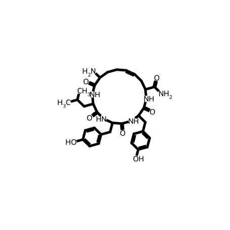 CC(C)CC1NC(=O)C(N)CC/C=C\CC(C(N)=O)NC(=O)C(Cc2ccc(O)cc2)NC(=O)C(Cc2ccc(O)cc2)NC1=O